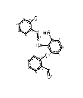 Nc1ccccc1N.O=Cc1ccccc1O.O=Cc1ccccc1O